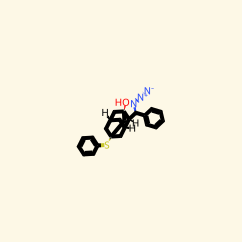 [N-]=[N+]=N[C@@H](c1ccccc1)[C@H]1[C@H]2C[C@@H]3C[C@](Sc4ccccc4)(C2)C[C@@]1(O)C3